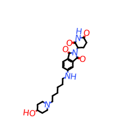 O=C1CCC(N2C(=O)c3ccc(NCCCCCCN4CCC(O)CC4)cc3C2=O)C(=O)N1